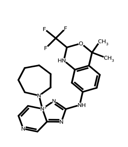 CC1(C)OC(C(F)(F)F)Nc2cc(NC3=N[N+]4(N5CCCCCC5)C=CN=CC4=N3)ccc21